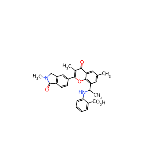 Cc1cc(C(C)Nc2ccccc2C(=O)O)c2oc(-c3ccc4c(c3)CN(C)C4=O)c(C)c(=O)c2c1